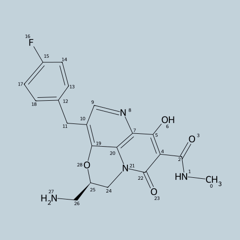 CNC(=O)c1c(O)c2ncc(Cc3ccc(F)cc3)c3c2n(c1=O)C[C@@H](CN)O3